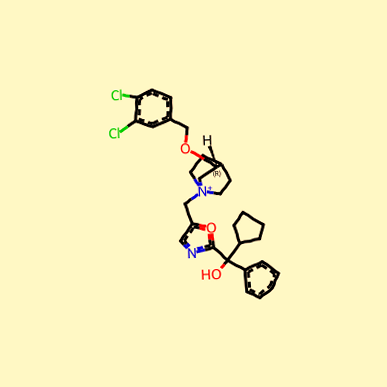 OC(c1ccccc1)(c1ncc(C[N+]23CCC(CC2)[C@@H](OCc2ccc(Cl)c(Cl)c2)C3)o1)C1CCCC1